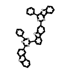 c1ccc(-c2nc(-c3ccc4sc5ccccc5c4c3)nc(-c3cccc4c3oc3cc(-c5nc(-c6ccccc6)c6sc7ccccc7c6n5)ccc34)n2)cc1